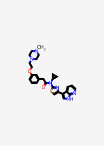 CN1CCN(CCOc2cccc(CC(=O)N(c3nc(-c4c[nH]c5ncccc45)cs3)C3CC3)c2)CC1